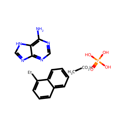 CC(=O)O.CCc1cccc2ccccc12.Nc1ncnc2nc[nH]c12.O=P(O)(O)O